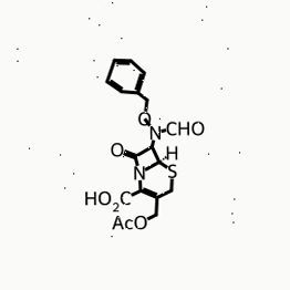 CC(=O)OCC1=C(C(=O)O)N2C(=O)C(N(C=O)OCc3ccccc3)[C@H]2SC1